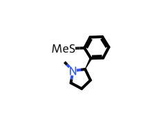 CSc1ccccc1[C@H]1CCCN1C